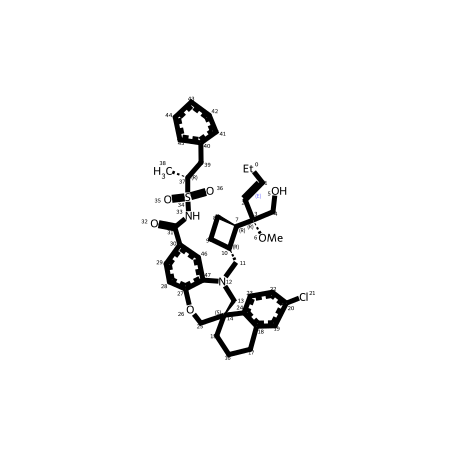 CC/C=C/[C@](CO)(OC)[C@@H]1CC[C@H]1CN1C[C@@]2(CCCc3cc(Cl)ccc32)COc2ccc(C(=O)NS(=O)(=O)[C@H](C)Cc3ccccc3)cc21